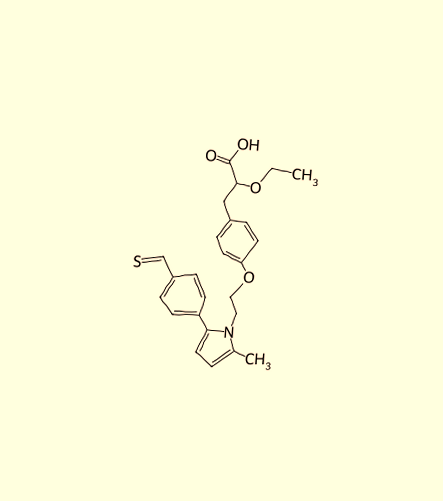 CCOC(Cc1ccc(OCCn2c(C)ccc2-c2ccc(C=S)cc2)cc1)C(=O)O